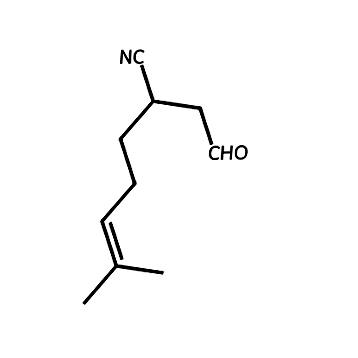 CC(C)=CCCC(C#N)CC=O